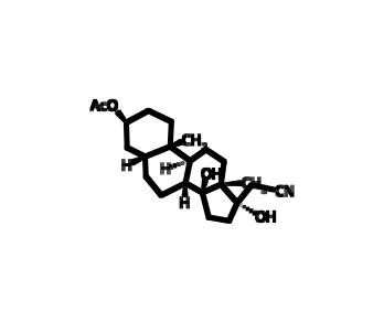 CC(=O)O[C@H]1CC[C@@]2(C)[C@H](CC[C@@H]3[C@@H]2CC[C@]2(C)[C@@](O)(CC#N)CC[C@]32O)C1